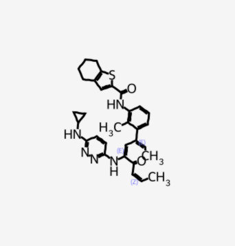 C/C=C\C(=O)/C(=C\C(=C/C)c1cccc(NC(=O)c2cc3c(s2)CCCC3)c1C)Nc1ccc(NC2CC2)nn1